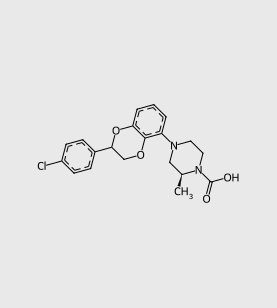 C[C@H]1CN(c2cccc3c2OCC(c2ccc(Cl)cc2)O3)CCN1C(=O)O